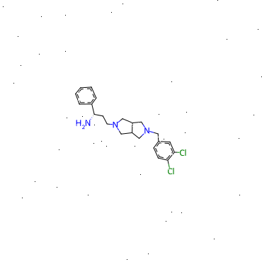 N[C@@H](CCN1CC2CN(Cc3ccc(Cl)c(Cl)c3)CC2C1)c1ccccc1